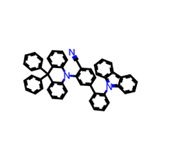 N#Cc1ccc(-c2ccccc2-n2c3ccccc3c3ccccc32)cc1N1c2ccccc2C(c2ccccc2)(c2ccccc2)c2ccccc21